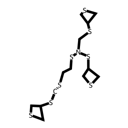 C(CSN(CSC1CSC1)SC1CSC1)SCSC1CSC1